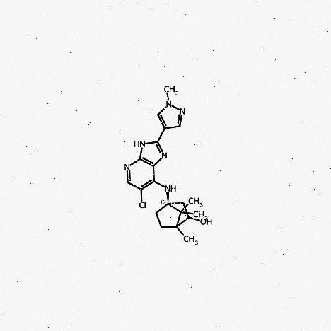 Cn1cc(-c2nc3c(N[C@@]45CCC(C)(C(O)C4)C5(C)C)c(Cl)cnc3[nH]2)cn1